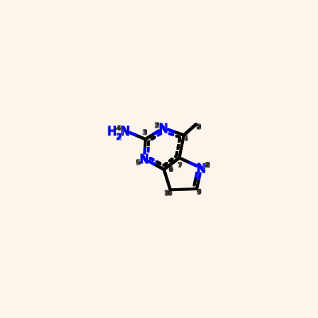 Cc1nc(N)nc2c1N=CC2